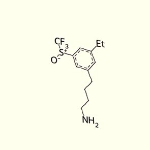 CCc1cc(CCCCN)cc([S+]([O-])C(F)(F)F)c1